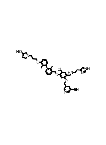 Cc1c(COc2cc(OCc3cncc(C#N)c3)c(CNCCc3c[nH]cn3)cc2Cl)cccc1-c1cccc(OCCCN2CCC(O)C2)c1C